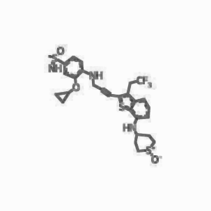 CS(=N)(=O)c1ccc(NCC#Cc2sc3c(NC4CC[S+]([O-])CC4)cccc3c2CC(F)(F)F)c(OC2CC2)c1